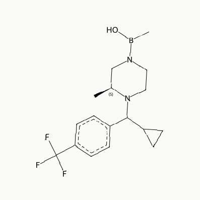 CB(O)N1CCN(C(c2ccc(C(F)(F)F)cc2)C2CC2)[C@@H](C)C1